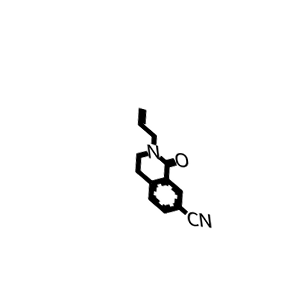 C=CCN1CCc2ccc(C#N)cc2C1=O